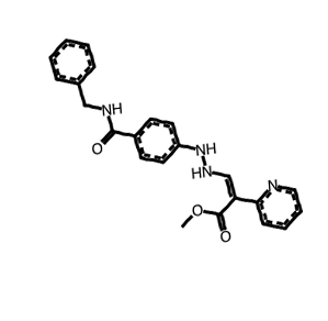 COC(=O)C(=CNNc1ccc(C(=O)NCc2ccccc2)cc1)c1ccccn1